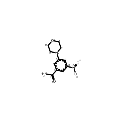 NC(=O)c1cc(N2CCOCC2)cc([N+](=O)[O-])c1